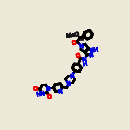 CO[C@@H](C(=O)N1Cc2[nH]nc(NC(=O)c3ccc(N4CCN(Cc5ccc(N6CCC(=O)NC6=O)cn5)CC4)cc3)c2C1)c1ccccc1